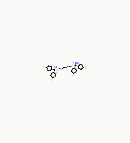 NC(BCCCCCCBC(N)(c1ccc(F)cc1)c1ccc(F)cc1)(c1ccc(F)cc1)c1ccc(F)cc1